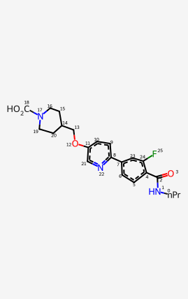 CCCNC(=O)c1ccc(-c2ccc(OCC3CCN(C(=O)O)CC3)cn2)cc1F